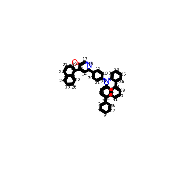 c1ccc(-c2ccc(N(c3ccc(-c4cc5c(cn4)oc4ccc6ccccc6c45)cc3)c3ccccc3-c3ccccc3)cc2)cc1